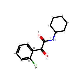 O=C(NC1CCCCC1)C(=O)c1ccccc1Cl